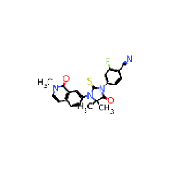 Cn1ccc2ccc(N3C(=S)N(c4ccc(C#N)c(F)c4)C(=O)C3(C)C)cc2c1=O